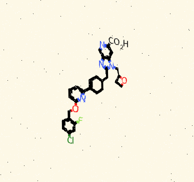 O=C(O)c1cc2c(cn1)nc(CC1CC=C(c3cccc(OCc4ccc(Cl)cc4F)n3)CC1)n2C[C@@H]1CCO1